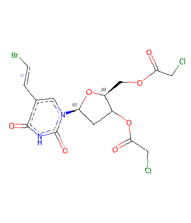 O=C(CCl)OC[C@@H]1O[C@H](n2cc(/C=C/Br)c(=O)[nH]c2=O)CC1OC(=O)CCl